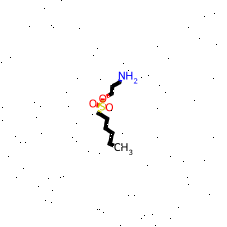 CCCCCCS(=O)(=O)OCCCN